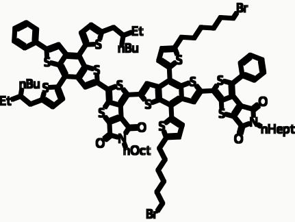 CCCCCCCCN1C(=O)c2sc3c(-c4cc5c(-c6ccc(CC(CC)CCCC)s6)c6sc(-c7ccccc7)cc6c(-c6ccc(CC(CC)CCCC)s6)c5s4)sc(-c4cc5c(-c6ccc(CCCCCCBr)s6)c6sc(-c7sc(-c8ccccc8)c8c9c(sc78)C(=O)N(CCCCCCC)C9=O)cc6c(-c6ccc(CCCCCCBr)s6)c5s4)c3c2C1=O